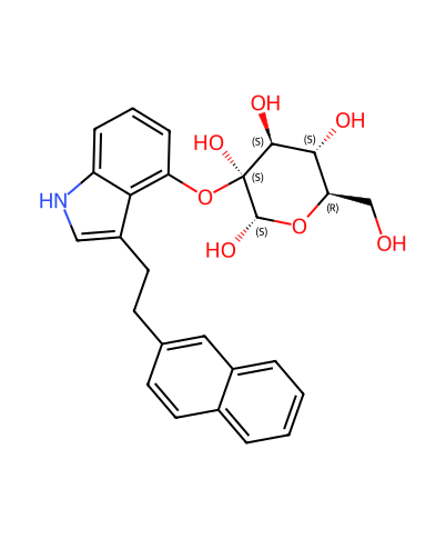 OC[C@H]1O[C@H](O)[C@@](O)(Oc2cccc3[nH]cc(CCc4ccc5ccccc5c4)c23)[C@@H](O)[C@@H]1O